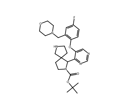 CC(C)(C)OC(=O)N1CCC2(CCNC2)C1c1ncncc1Oc1ccc(F)cc1CN1CCOCC1